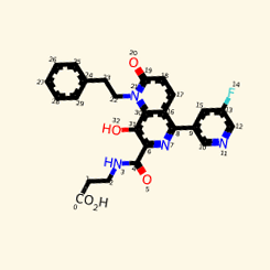 O=C(O)CCNC(=O)c1nc(-c2cncc(F)c2)c2ccc(=O)n(CCc3ccccc3)c2c1O